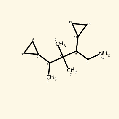 CC(C1CC1)C(C)(C)C(CN)C1CC1